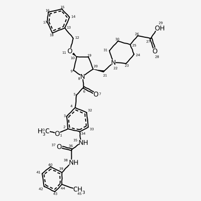 COc1cc(CC(=O)N2C[C@@H](OCc3ccccc3)C[C@H]2CN2CCC(CC(=O)O)CC2)ccc1NC(=O)Nc1ccccc1C